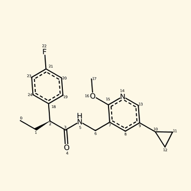 CC[C@H](C(=O)NCc1cc(C2CC2)cnc1OC)c1ccc(F)cc1